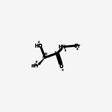 CCC[C@H](O)C(=O)NC(C)C